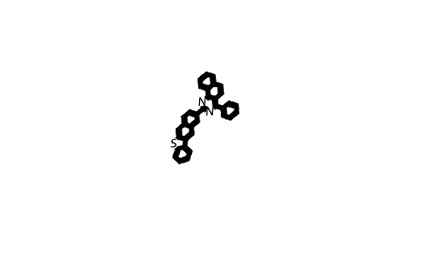 c1ccc(-c2nc(-c3ccc4cc5sc6ccccc6c5cc4c3)nc3c2ccc2ccccc23)cc1